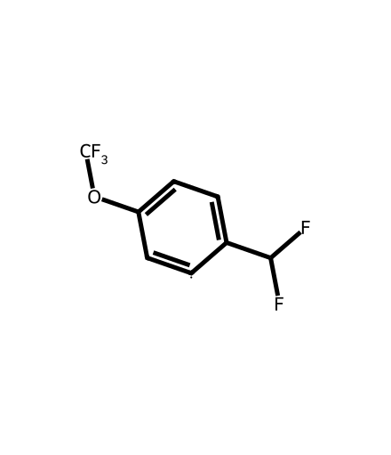 FC(F)c1[c]cc(OC(F)(F)F)cc1